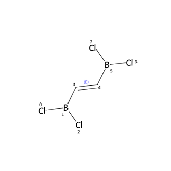 ClB(Cl)/C=C/B(Cl)Cl